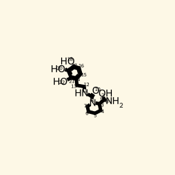 NC(O)C1CCCCN1C(=O)NCCc1ccc(O)c(O)c1O